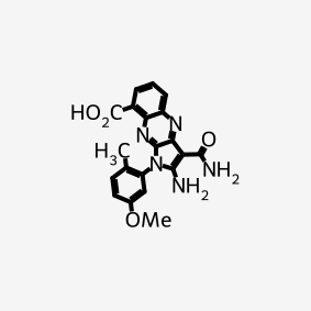 COc1ccc(C)c(-n2c(N)c(C(N)=O)c3nc4cccc(C(=O)O)c4nc32)c1